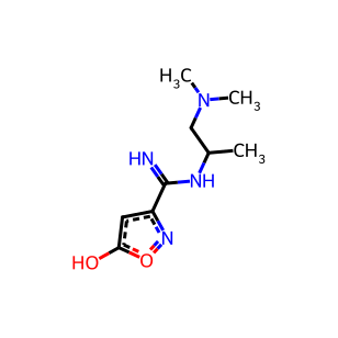 CC(CN(C)C)NC(=N)c1cc(O)on1